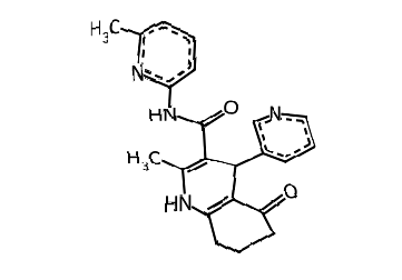 CC1=C(C(=O)Nc2cccc(C)n2)C(c2cccnc2)C2=C(CCCC2=O)N1